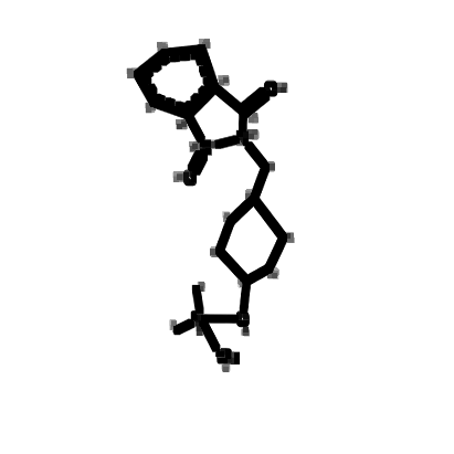 CC(C)(C)[Si](C)(C)OC1CCC(CN2C(=O)c3ccccc3[N+]2=O)CC1